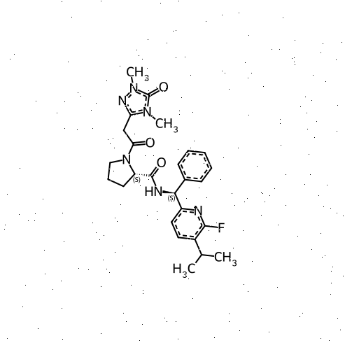 CC(C)c1ccc([C@@H](NC(=O)[C@@H]2CCCN2C(=O)Cc2nn(C)c(=O)n2C)c2ccccc2)nc1F